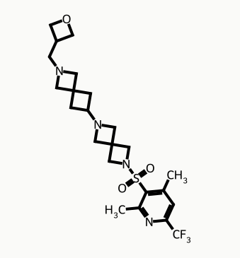 Cc1cc(C(F)(F)F)nc(C)c1S(=O)(=O)N1CC2(CN(C3CC4(C3)CN(CC3COC3)C4)C2)C1